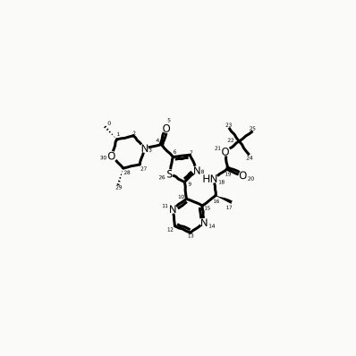 C[C@@H]1CN(C(=O)c2cnc(-c3nccnc3[C@H](C)NC(=O)OC(C)(C)C)s2)C[C@H](C)O1